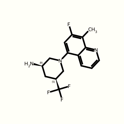 Cc1c(F)cc(N2C[C@H](N)C[C@H](C(F)(F)F)C2)c2cccnc12